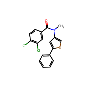 CN(C(=O)c1ccc(Cl)c(Cl)c1)c1csc(-c2ccccc2)c1